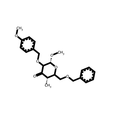 COc1ccc(COC2C(=O)[C@@H](C)C(COCc3ccccc3)O[C@H]2OC)cc1